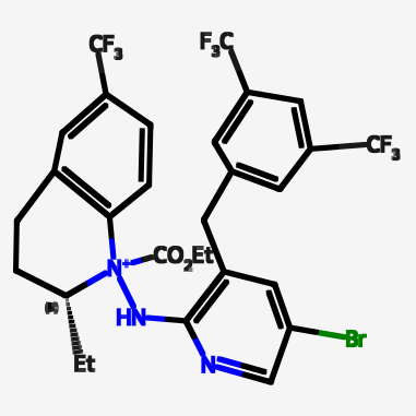 CCOC(=O)[N+]1(Nc2ncc(Br)cc2Cc2cc(C(F)(F)F)cc(C(F)(F)F)c2)c2ccc(C(F)(F)F)cc2CC[C@H]1CC